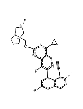 C#Cc1c(F)ccc2cc(O)cc(-c3ncc4c(C5CC5)nc(OC[C@@]56CCCN5C[C@H](F)C6)nc4c3F)c12